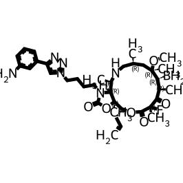 B[C@@H]1[C@@H](C)C(=O)[C@](C)(F)C(=O)O[C@H](CC=C)[C@@]2(C)OC(=O)N(CCCCn3cc(-c4cccc(N)c4)nn3)[C@@H]2[C@@H](C)NC[C@H](C)C[C@@]1(C)OC